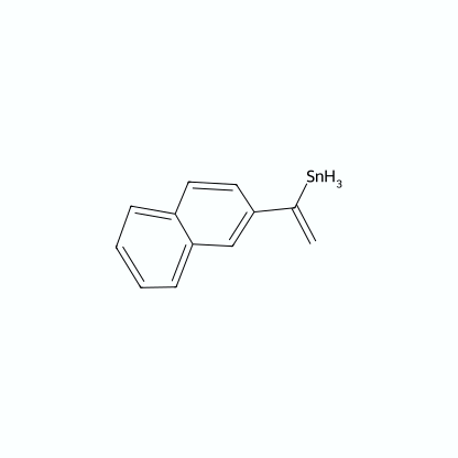 C=[C]([SnH3])c1ccc2ccccc2c1